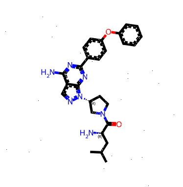 CC(C)C[C@@H](N)C(=O)N1CC[C@@H](n2ncc3c(N)nc(-c4ccc(Oc5ccccc5)cc4)nc32)C1